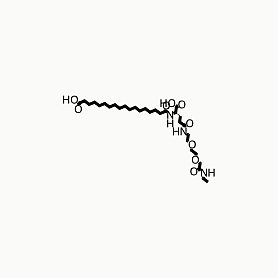 CCNC(=O)COCCOCCNC(=O)CC[C@H](NC(=O)CCCCCCCCCCCCCCCCC(=O)O)C(=O)O